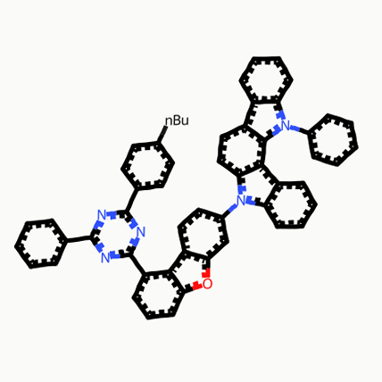 CCCCc1ccc(-c2nc(-c3ccccc3)nc(-c3cccc4oc5cc(-n6c7ccccc7c7c6ccc6c8ccccc8n(-c8ccccc8)c67)ccc5c34)n2)cc1